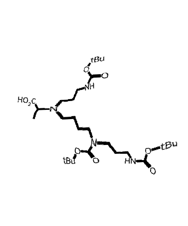 CC(C(=O)O)N(CCCCN(CCCNC(=O)OC(C)(C)C)C(=O)OC(C)(C)C)CCCNC(=O)OC(C)(C)C